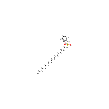 CCCCCCCCCCCCCCCCCCCS(=O)(=O)Cc1ccccc1